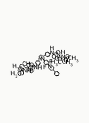 COC(=O)NC(C(=O)N1CCC[C@H]1C(=O)Nc1ccc([C@@H]2CCC(c3ccc(NC(=O)[C@@H]4CCCN4C(=O)[C@@H](NC(=O)OC)C(C)C)cc3)N2c2cc(F)c(N3CCC(c4ccccc4)CC3)c(F)c2)cc1)C(C)C